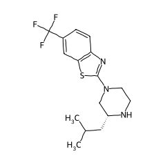 CC(C)C[C@@H]1CN(c2nc3ccc(C(F)(F)F)cc3s2)CCN1